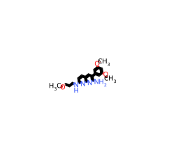 COCCCNc1ccc2cc(-c3cc(OC)cc(OC)c3)c(N)nc2n1